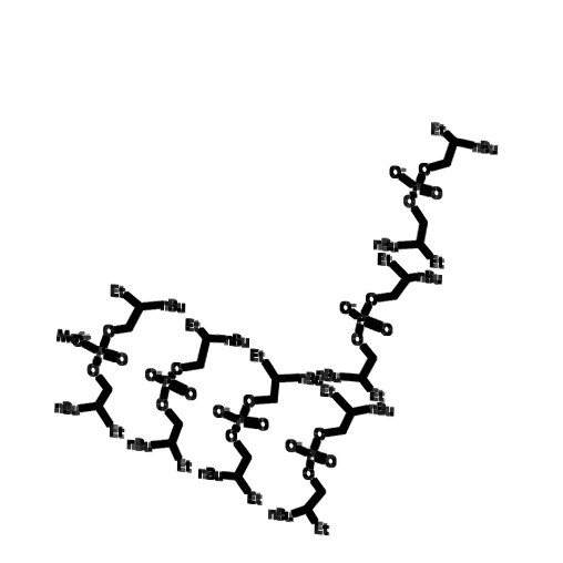 CCCCC(CC)COP(=O)([O-])OCC(CC)CCCC.CCCCC(CC)COP(=O)([O-])OCC(CC)CCCC.CCCCC(CC)COP(=O)([O-])OCC(CC)CCCC.CCCCC(CC)COP(=O)([O-])OCC(CC)CCCC.CCCCC(CC)COP(=O)([O-])OCC(CC)CCCC.CCCCC(CC)COP(=O)([O-])OCC(CC)CCCC.[Mo+6]